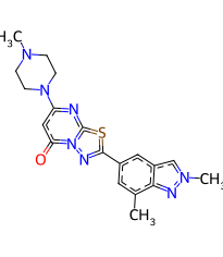 Cc1cc(-c2nn3c(=O)cc(N4CCN(C)CC4)nc3s2)cc2cn(C)nc12